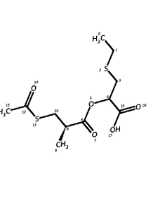 CCSCC(OC(=O)[C@@H](C)CSC(C)=O)C(=O)O